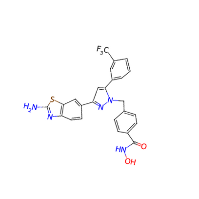 Nc1nc2ccc(-c3cc(-c4cccc(C(F)(F)F)c4)n(Cc4ccc(C(=O)NO)cc4)n3)cc2s1